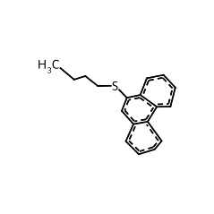 CCCCSc1cc2ccccc2c2ccccc12